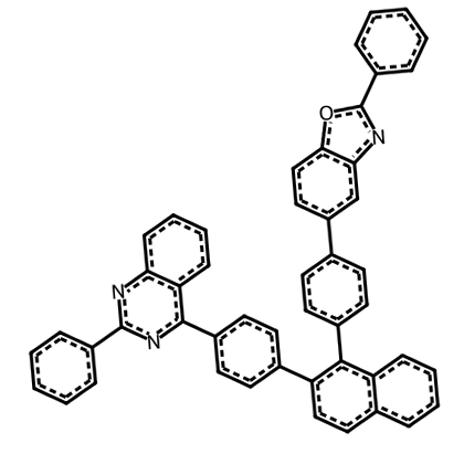 c1ccc(-c2nc(-c3ccc(-c4ccc5ccccc5c4-c4ccc(-c5ccc6oc(-c7ccccc7)nc6c5)cc4)cc3)c3ccccc3n2)cc1